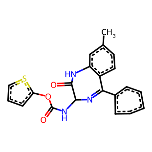 Cc1ccc2c(c1)NC(=O)C(NC(=O)Oc1cccs1)N=C2c1ccccc1